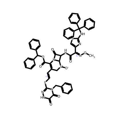 CO/N=C(/C(=O)NC1C(=O)N2C(C(=O)OC(c3ccccc3)c3ccccc3)=C(/C=C/Sc3n[nH]c(=O)c(=O)n3Cc3ccccc3)C[S+]([O-])C12)c1csc(NC(c2ccccc2)(c2ccccc2)c2ccccc2)n1